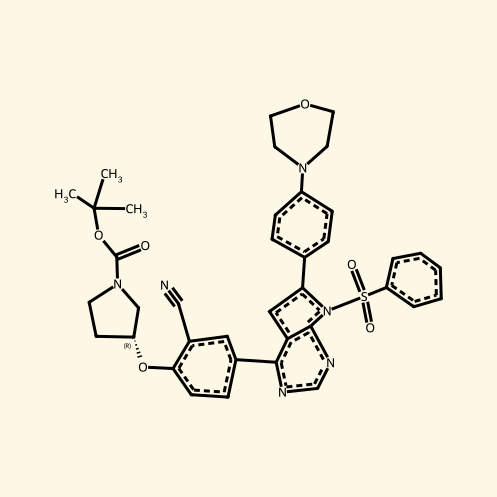 CC(C)(C)OC(=O)N1CC[C@@H](Oc2ccc(-c3ncnc4c3cc(-c3ccc(N5CCOCC5)cc3)n4S(=O)(=O)c3ccccc3)cc2C#N)C1